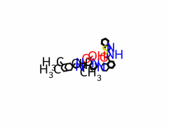 Cc1c(-c2ccc(N3CCc4cccc(C(=O)Nc5nc6ccccc6s5)c4C3)nc2C(=O)O)cnn1CC1(C)CC2CC(C)C(C)C(C2)C1